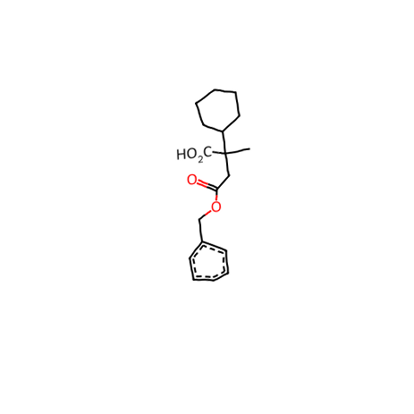 CC(CC(=O)OCc1ccccc1)(C(=O)O)C1CCCCC1